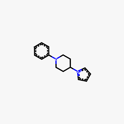 [c]1ccc(N2CCC(n3cccc3)CC2)cc1